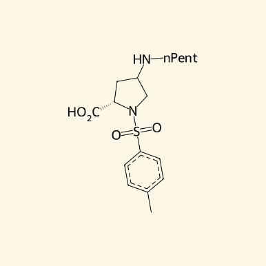 CCCCCNC1C[C@@H](C(=O)O)N(S(=O)(=O)c2ccc(C)cc2)C1